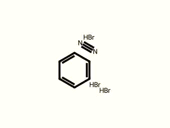 Br.Br.Br.N#N.c1ccccc1